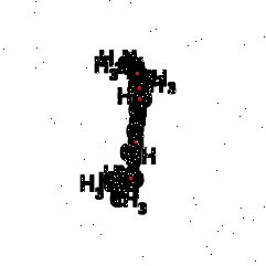 CCNCCN(CC)CC(=O)NC(CCCCNC(=O)CCOCCOCCOCCOCCC(=O)NCC(=O)Nc1ccc(-c2ccc(N)c(C)c2)cc1C)C(N)=O